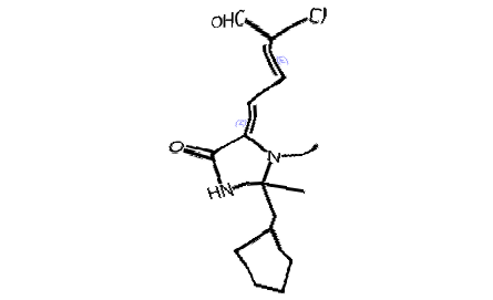 CN1/C(=C\C=C(\Cl)C=O)C(=O)NC1(C)C1CCCC1